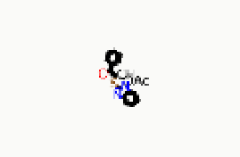 CC(=O)On1c(SC(C)C(=O)c2ccccc2)nc2ccccc21